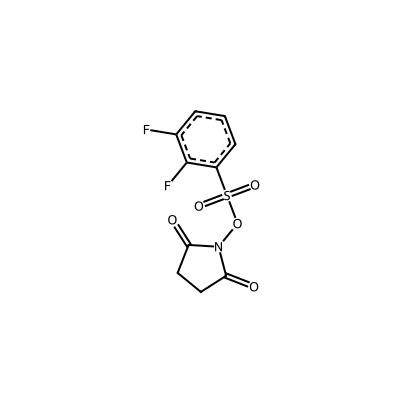 O=C1CCC(=O)N1OS(=O)(=O)c1cccc(F)c1F